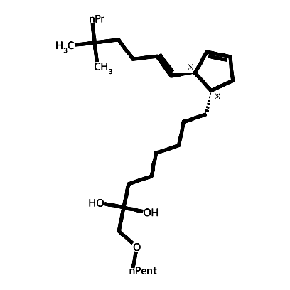 CCCCCOCC(O)(O)CCCCCC[C@H]1CC=C[C@@H]1C=CCCC(C)(C)CCC